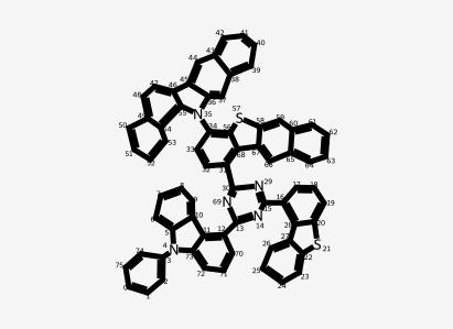 c1ccc(-n2c3ccccc3c3c(-c4nc(-c5cccc6sc7ccccc7c56)nc(-c5ccc(-n6c7cc8ccccc8cc7c7ccc8ccccc8c76)c6sc7cc8ccccc8cc7c56)n4)cccc32)cc1